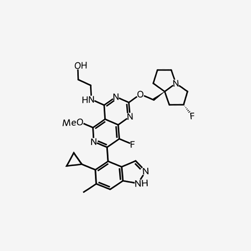 COc1nc(-c2c(C3CC3)c(C)cc3[nH]ncc23)c(F)c2nc(OC[C@@]34CCCN3C[C@H](F)C4)nc(NCCO)c12